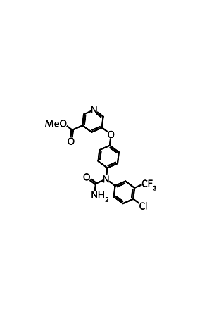 COC(=O)c1cncc(Oc2ccc(N(C(N)=O)c3ccc(Cl)c(C(F)(F)F)c3)cc2)c1